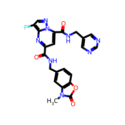 Cn1c(=O)oc2ccc(CNC(=O)c3cc(C(=O)NCc4cncnc4)n4ncc(F)c4n3)cc21